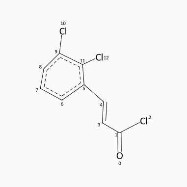 O=C(Cl)C=Cc1cccc(Cl)c1Cl